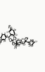 O=C(OC(c1cccc(F)c1)c1cccc(F)c1)O[C@H]1C[N+]2(CC(=O)c3nccs3)CCC1CC2